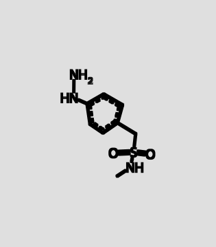 CNS(=O)(=O)Cc1ccc(NN)cc1